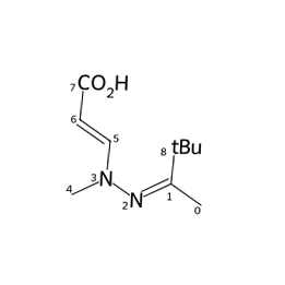 C/C(=N/N(C)/C=C/C(=O)O)C(C)(C)C